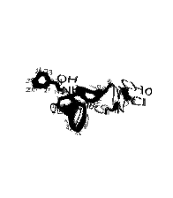 CCCCc1nc(Cl)c(C=O)n1Cc1ccc(C(CC(N)=O)(NCC(O)c2ccccc2)c2ccccc2)cc1